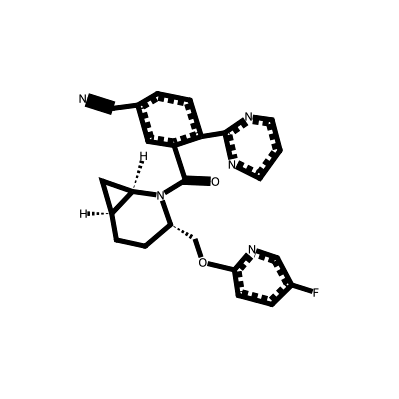 N#Cc1ccc(-c2ncccn2)c(C(=O)N2[C@H](COc3ccc(F)cn3)CC[C@H]3C[C@H]32)c1